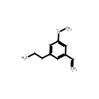 C=Cc1cc(CCC)cc(OC)c1